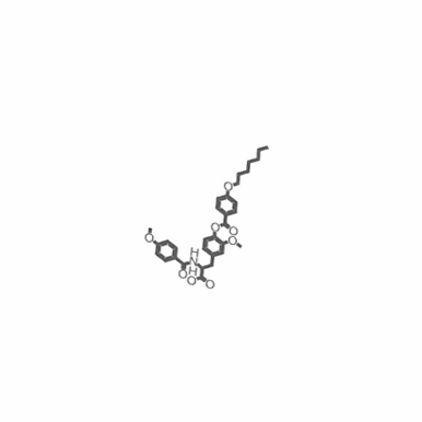 CCCCCCCOc1ccc(C(=O)Oc2ccc(CC(NC(=O)c3ccc(OC)cc3)C(=O)O)cc2OC)cc1